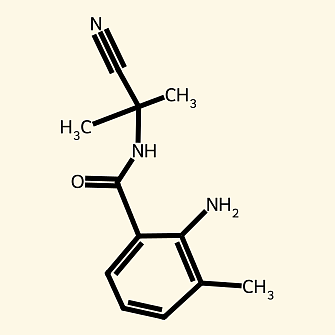 Cc1cccc(C(=O)NC(C)(C)C#N)c1N